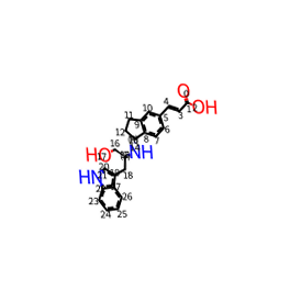 O=C(O)C=Cc1ccc2c(c1)CC[C@H]2N[C@H](CO)Cc1c[nH]c2ccccc12